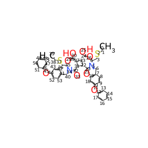 CCSCCN(Cc1ccc(Oc2ccccc2)cc1)C(=O)[C@H]1[C@@H](C(=O)O)[C@H](C(=O)O)[C@@H]1C(=O)N(CCSCC)Cc1ccc(Oc2ccccc2)cc1